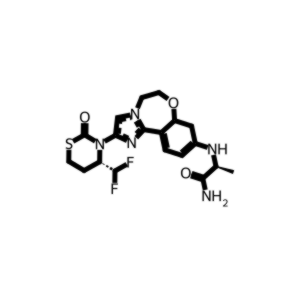 C[C@H](NC1=CC=C2c3nc(N4C(=O)SCC[C@H]4C(F)F)cn3CCOC2C1)C(N)=O